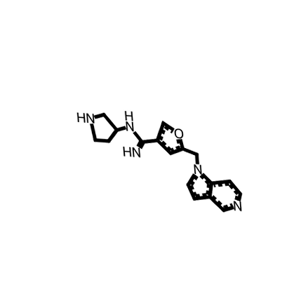 N=C(NC1CCNC1)c1coc(Cn2ccc3cnccc32)c1